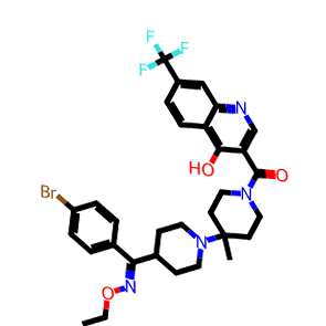 CCO/N=C(\c1ccc(Br)cc1)C1CCN(C2(C)CCN(C(=O)c3cnc4cc(C(F)(F)F)ccc4c3O)CC2)CC1